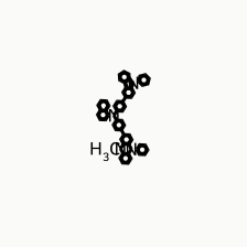 CN1c2ccccc2N(c2ccccc2)c2ccc(-c3ccc(N(c4ccc(-c5ccc6c(c5)c5ccccc5n6-c5ccccc5)cc4)c4cccc5ccccc45)cc3)cc21